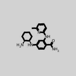 Cc1cccc(Nc2cc(N[C@@H]3CCCC[C@@H]3N)ccc2C(N)=O)n1